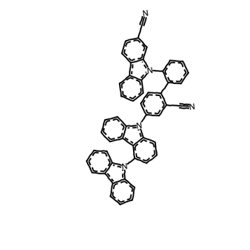 N#Cc1ccc2c3ccccc3n(-c3ccccc3-c3ccc(-n4c5ccccc5c5c(-n6c7ccccc7c7ccccc76)cccc54)cc3C#N)c2c1